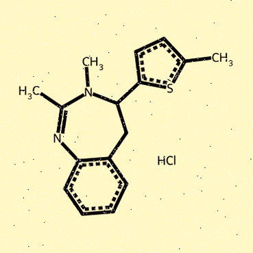 CC1=Nc2ccccc2CC(c2ccc(C)s2)N1C.Cl